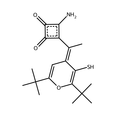 CC(=C1C=C(C(C)(C)C)OC(C(C)(C)C)=C1S)c1c(N)c(=O)c1=O